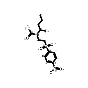 CCCC(F)N(CCS(=O)(=O)c1ccc([N+](=O)[O-])cc1)C(=O)O